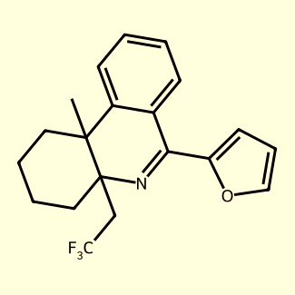 CC12CCCCC1(CC(F)(F)F)N=C(c1ccco1)c1ccccc12